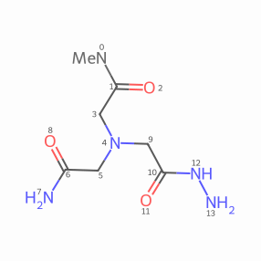 CNC(=O)CN(CC(N)=O)CC(=O)NN